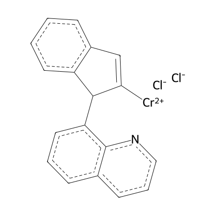 [Cl-].[Cl-].[Cr+2][C]1=Cc2ccccc2C1c1cccc2cccnc12